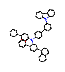 c1ccc(-c2ccc(N(c3ccc(-c4cccc(-n5c6ccccc6c6ccccc65)c4)cc3)c3cc(-c4cccc5ccccc45)ccc3-c3ccccc3)cc2)cc1